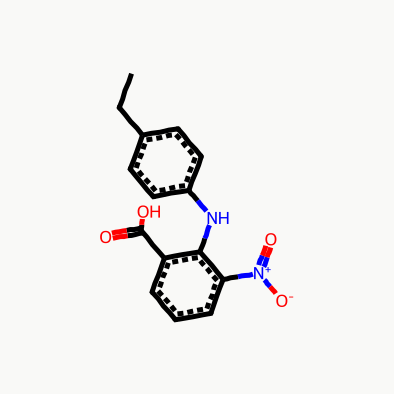 CCc1ccc(Nc2c(C(=O)O)cccc2[N+](=O)[O-])cc1